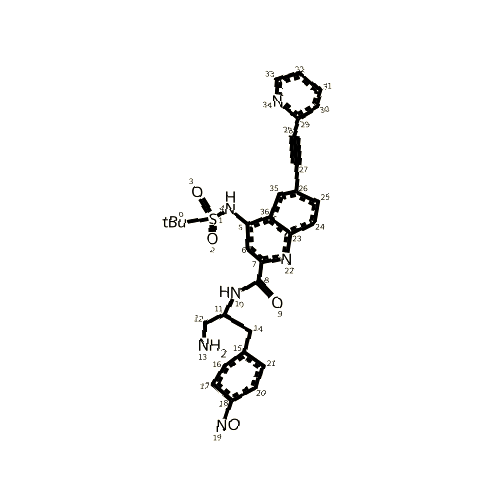 CC(C)(C)S(=O)(=O)Nc1cc(C(=O)NC(CN)Cc2ccc(N=O)cc2)nc2ccc(C#Cc3ccccn3)cc12